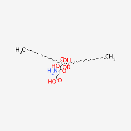 CCCCCCCCCCCCCCCC(=O)C(O)C(O)(C(=O)CCCCCCCCCCCCCCC)C(O)C(=O)C(N)CCC(=O)O